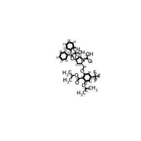 CC(C)OC(=O)c1c(OC[C@H]2C[C@@H](O[Si](c3ccccc3)(c3ccccc3)C(C)(C)C)CN2C(=O)O)cc(C(F)(F)F)cc1OC(C)C